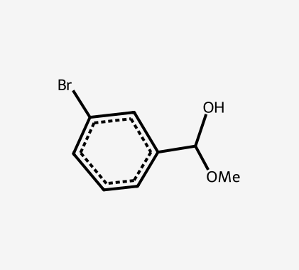 COC(O)c1cccc(Br)c1